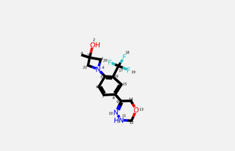 CC1(O)CN(c2ccc(C3=NNCOC3)cc2C(F)(F)F)C1